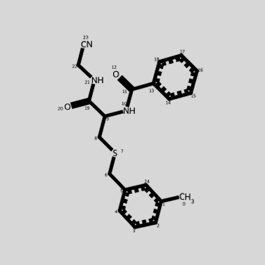 Cc1cccc(CSCC(NC(=O)c2ccccc2)C(=O)NCC#N)c1